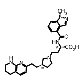 Cn1ncc2c(C(=O)N[C@H](CCN3CC[C@@H](CCc4ccc5c(n4)NCCC5)C3)C(=O)O)cccc21